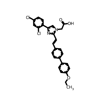 CCOc1ccc(-c2ccc(/C=C/c3nc(-c4ccc(Cl)cc4Cl)cn3CC(=O)O)cc2)cc1